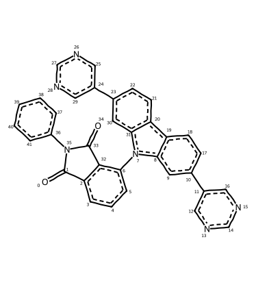 O=C1c2cccc(-n3c4cc(-c5cncnc5)ccc4c4ccc(-c5cncnc5)cc43)c2C(=O)N1c1ccccc1